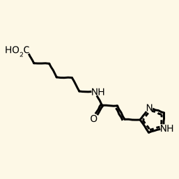 O=C(O)CCCCCNC(=O)/C=C/c1c[nH]cn1